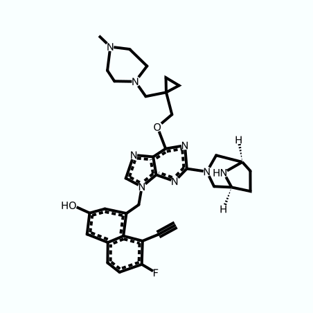 C#Cc1c(F)ccc2cc(O)cc(Cn3cnc4c(OCC5(CN6CCN(C)CC6)CC5)nc(N5C[C@H]6CC[C@@H](C5)N6)nc43)c12